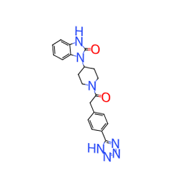 O=C(Cc1ccc(-c2nnn[nH]2)cc1)N1CCC(n2c(=O)[nH]c3ccccc32)CC1